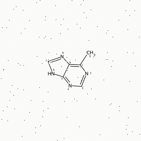 Cc1n[c]nc2[nH]cnc12